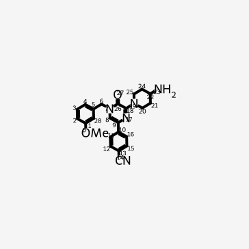 COc1cccc(Cn2cc(-c3ccc(C#N)cc3)nc(N3CCC(N)CC3)c2=O)c1